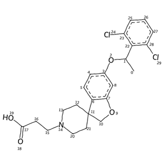 CC(Oc1ccc2c(c1)OCC21CCN(CCC(=O)O)CC1)c1c(Cl)cccc1Cl